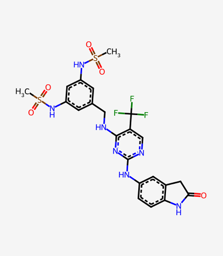 CS(=O)(=O)Nc1cc(CNc2nc(Nc3ccc4c(c3)CC(=O)N4)ncc2C(F)(F)F)cc(NS(C)(=O)=O)c1